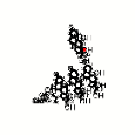 CCCCOC(C)=O.C[C@]12C=CC(=O)C=C1CCC1C2C(O)C[C@@]2(C)C1CC[C@]2(O)C(=O)CO.C[C@]12C=CC(=O)C=C1CCC1C2C(O)C[C@@]2(C)C1CC[C@]2(O)C(=O)CO.C[C@]12C=CC(=O)C=C1CCC1C2C(O)C[C@@]2(C)C1CC[C@]2(O)C(=O)CO.C[C@]12C=CC(=O)C=C1CC[C@@H]1C3CC[C@](O)(C(=O)CO)[C@@]3(C)CC(O)[C@H]12.O=P([O-])([O-])[O-].[Na+].[Na+].[Na+]